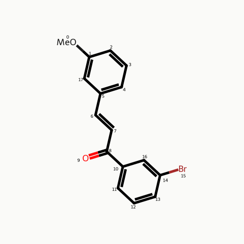 COc1cccc(/C=C/C(=O)c2cccc(Br)c2)c1